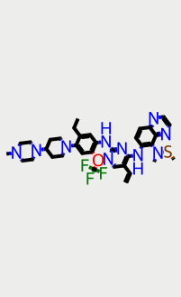 C=Cc1cnc(Nc2cc(CC)c(N3CCC(N4CCN(C)CC4)CC3)cc2OC(F)(F)F)nc1Nc1ccc2nccnc2c1N(C)SC